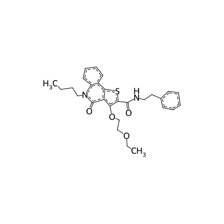 CCCCn1c(=O)c2c(OCCOCC)c(C(=O)NCCc3ccccc3)sc2c2ccccc21